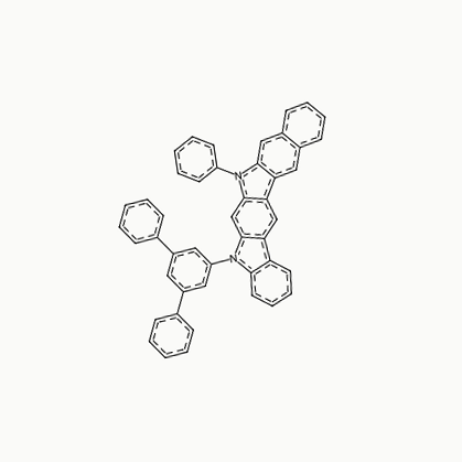 c1ccc(-c2cc(-c3ccccc3)cc(-n3c4ccccc4c4cc5c6cc7ccccc7cc6n(-c6ccccc6)c5cc43)c2)cc1